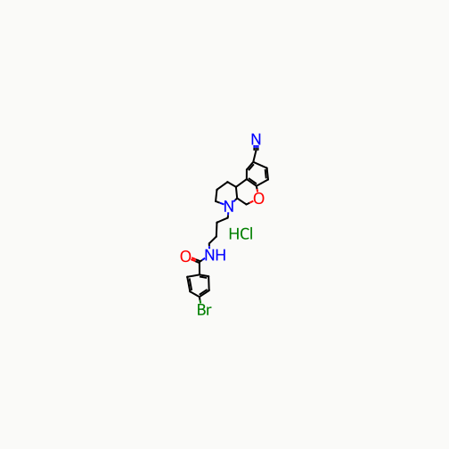 Cl.N#Cc1ccc2c(c1)C1CCCN(CCCCNC(=O)c3ccc(Br)cc3)C1CO2